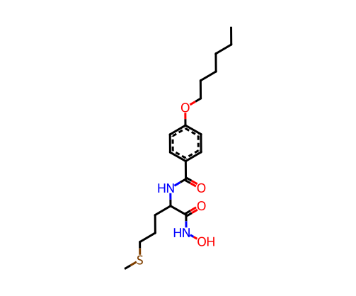 CCCCCCOc1ccc(C(=O)NC(CCCSC)C(=O)NO)cc1